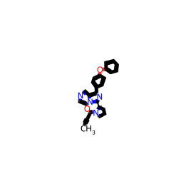 CC#CC(=O)N1CCC[C@@H]1c1nc(-c2ccc(Oc3ccccc3)cc2)c2cnccn12